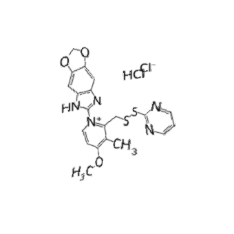 COc1cc[n+](-c2nc3cc4c(cc3[nH]2)OCO4)c(CSSc2ncccn2)c1C.Cl.[Cl-]